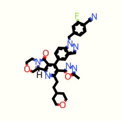 Cc1nnc(-c2c(CCC3CCOCC3)nc3c(c2-c2ccc4c(cnn4Cc4ccc(C#N)c(F)c4)c2)C(=O)N2CCOC[C@@H]32)o1